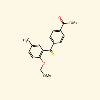 COCOc1ccc(C)cc1C(=S)c1ccc(C(=O)OC)cc1